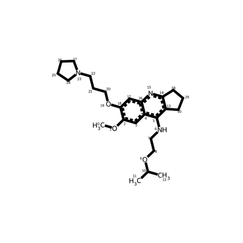 COc1cc2c(NCCOC(C)C)c3c(nc2cc1OCCCN1CCCC1)CCC3